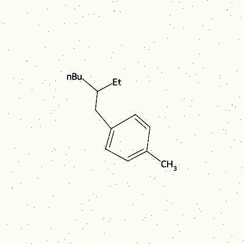 CCCCC(CC)Cc1ccc(C)cc1